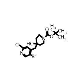 CC(C)(C)OC(=O)N1CCC(O)(Cc2cc(Cl)ncc2Br)CC1